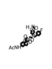 CC(=O)Nc1ccc2c(c1)CC[C@@]21OC(=O)N(CC(=O)N(Cc2ccc(F)cc2)[C@@H]2CCN(C(N)=O)C2)C1=O